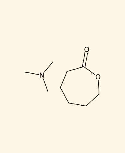 CN(C)C.O=C1CCCCCO1